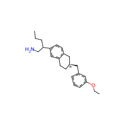 CCCC(CN)c1ccc2c(c1)CC[C@H](Cc1cccc(OCC)c1)C2